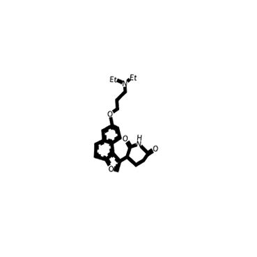 CCN(CC)CCCOc1ccc2c(ccc3occ(C4CCC(=O)NC4=O)c32)c1